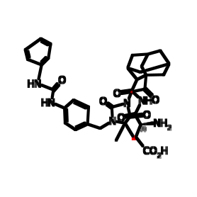 CC1(C)C(=O)N(CC(=O)C23CC4CC(CC(C4)C2C(=O)NC(=O)[C@@H](N)CC(=O)O)C3)C(=O)N1Cc1ccc(NC(=O)Nc2ccccc2)cc1